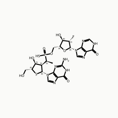 C[C@@H]([C@@H]1[C@H](O)[C@@H](CO)S[C@H]1n1cnc2c(=O)[nH]c(N)nc21)P(=O)(S)OC[C@H]1O[C@@H](n2cnc3c(=O)[nH]cnc32)[C@@H](F)[C@@H]1O